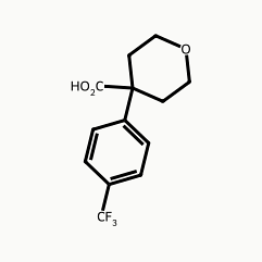 O=C(O)C1(c2ccc(C(F)(F)F)cc2)CCOCC1